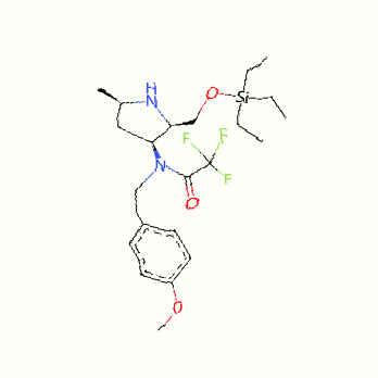 CC[Si](CC)(CC)OC[C@@H]1N[C@H](C)C[C@@H]1N(Cc1ccc(OC)cc1)C(=O)C(F)(F)F